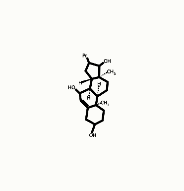 CC(C)C1C[C@H]2[C@@H]3C(O)C=C4CC(O)CC[C@]4(C)[C@@H]3CC[C@]2(C)C1O